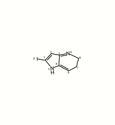 Ic1cc2c([nH]1)=CCCN=2